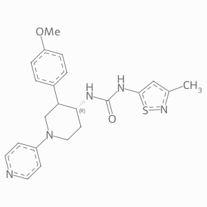 COc1ccc(C2CN(c3ccncc3)CC[C@H]2NC(=O)Nc2cc(C)ns2)cc1